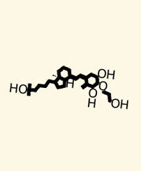 C=C1/C(=C\C=C2/CCC[C@]3(C)C(CCCCC(C)(C)O)CC[C@@H]23)C[C@@H](O)C(OCCCO)[C@@H]1O